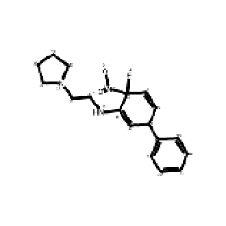 O=[N+]([O-])C1(F)C=CC(c2ccccc2)C=C1NCCN1CCCC1